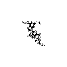 COc1nc(C)nc2c1ncn2C1OC2COP(=O)(OCC(C)(C)C)O[C@H]2[C@]12CCO2